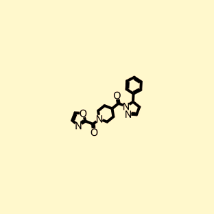 O=C(c1ncco1)N1CCC(C(=O)N2N=CCC2c2ccccc2)CC1